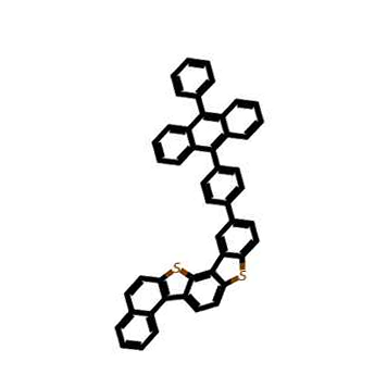 c1ccc(-c2c3ccccc3c(-c3ccc(-c4ccc5sc6ccc7c(sc8ccc9ccccc9c87)c6c5c4)cc3)c3ccccc23)cc1